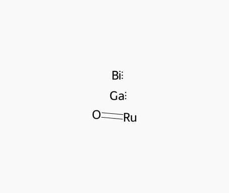 [Bi].[Ga].[O]=[Ru]